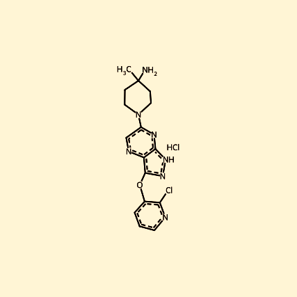 CC1(N)CCN(c2cnc3c(Oc4cccnc4Cl)n[nH]c3n2)CC1.Cl